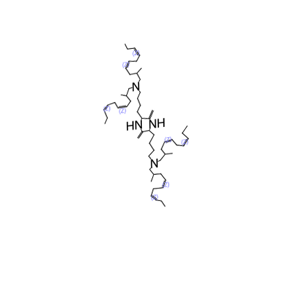 C=C1NC(CCCCN(CC(C)C/C=C\C/C=C\CC)CC(C)C/C=C\C/C=C\CC)C(=C)NC1CCCCN(CC(C)C/C=C\C/C=C\CC)CC(C)C/C=C\C/C=C\CC